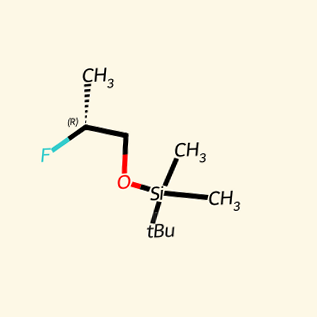 C[C@@H](F)CO[Si](C)(C)C(C)(C)C